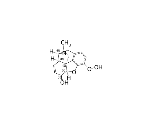 CN1CC[C@]23c4c5ccc(OO)c4O[C@H]2[C@@H](O)C=C[C@H]3[C@H]1C5